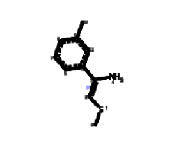 CS/C=C(\N)c1cccc(C)c1